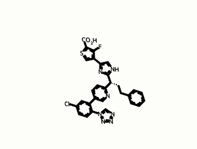 O=C(O)c1scc(-c2c[nH]c([C@H](CCc3ccccc3)c3ccc(-c4cc(Cl)ccc4-n4cnnn4)cn3)n2)c1F